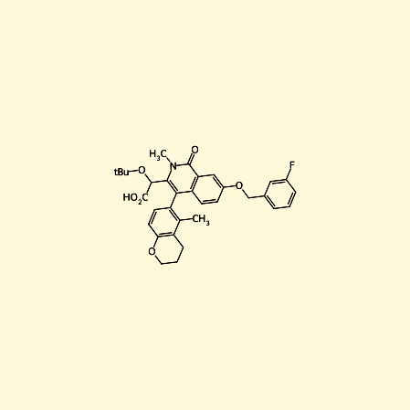 Cc1c(-c2c(C(OC(C)(C)C)C(=O)O)n(C)c(=O)c3cc(OCc4cccc(F)c4)ccc23)ccc2c1CCCO2